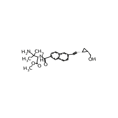 COC(=O)[C@@H](NC(=O)c1ccc2cc(C#C[C@@H]3C[C@H]3CO)ccc2c1)C(C)(C)N